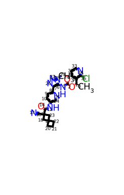 C[C@@H](OC(=O)Nc1c(-c2ccc(NC(=O)C3(C#N)CC4(CCC4)C3)cn2)nnn1C)c1cccnc1Cl